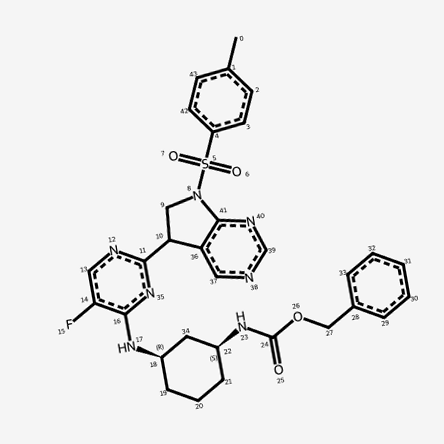 Cc1ccc(S(=O)(=O)N2CC(c3ncc(F)c(N[C@@H]4CCC[C@H](NC(=O)OCc5ccccc5)C4)n3)c3cncnc32)cc1